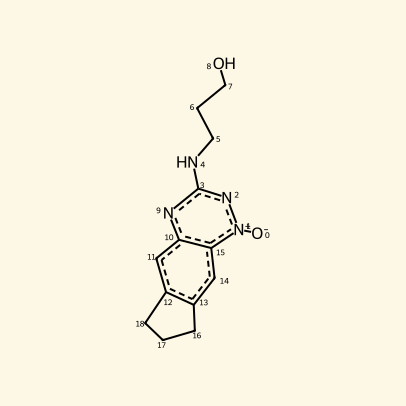 [O-][n+]1nc(NCCCO)nc2cc3c(cc21)CCC3